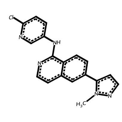 Cn1nccc1-c1ccc2c(Nc3ccc(Cl)nc3)nccc2c1